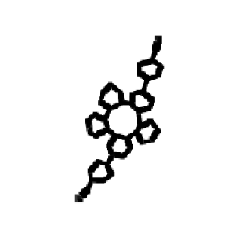 N#Cc1ccc(-c2ccc3c4ccccc4c4ccc(-c5ccc(C#N)cc5)cc4c4ccccc4c4ccccc4c3c2)cc1